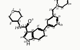 O=C(NC1CCOCC1)c1c[nH]c2ccc(-c3cncc(CN4CCCCC4)c3)cc12